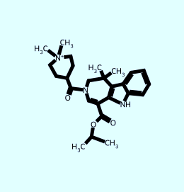 CC(C)OC(=O)C1=CN(C(=O)C2CC[N+](C)(C)CC2)CC(C)(C)c2c1[nH]c1ccccc21